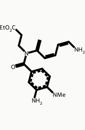 C=C(/C=C\C=C/N)N(CCC(=O)OCC)C(=O)c1ccc(NC)c(N)c1